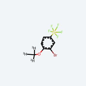 [2H]C([2H])([2H])Oc1ccc(S(F)(F)(F)(F)F)cc1Br